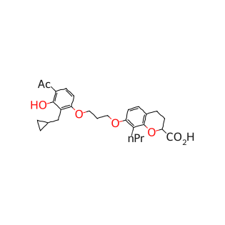 CCCc1c(OCCCOc2ccc(C(C)=O)c(O)c2CC2CC2)ccc2c1OC(C(=O)O)CC2